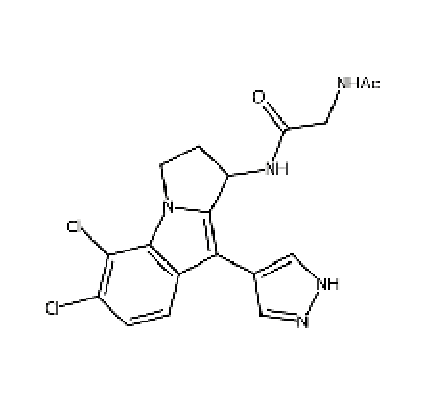 CC(=O)NCC(=O)NC1CCn2c1c(-c1cn[nH]c1)c1ccc(Cl)c(Cl)c12